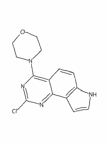 Clc1nc(N2CCOCC2)c2ccc3[nH]ccc3c2n1